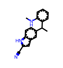 CNc1ccccc1C(C)c1ccc2[nH]c(C#N)cc2c1